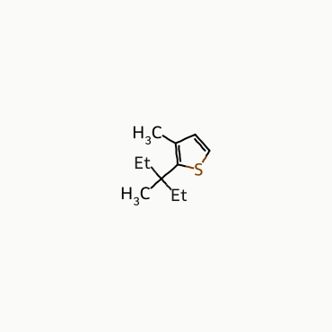 CCC(C)(CC)c1sccc1C